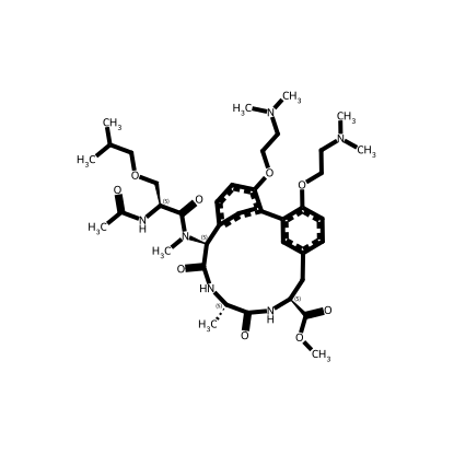 COC(=O)[C@@H]1Cc2ccc(OCCN(C)C)c(c2)-c2cc(ccc2OCCN(C)C)[C@H](N(C)C(=O)[C@H](COCC(C)C)NC(C)=O)C(=O)N[C@@H](C)C(=O)N1